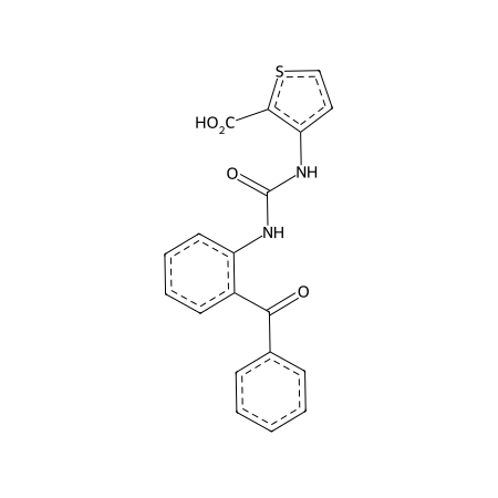 O=C(Nc1ccccc1C(=O)c1ccccc1)Nc1ccsc1C(=O)O